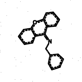 c1ccc(CN=c2c3ccccc3oc3ccccc23)cc1